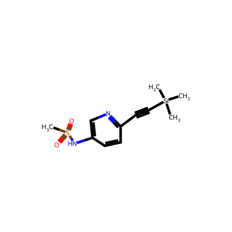 C[Si](C)(C)C#Cc1ccc(NS(C)(=O)=O)cn1